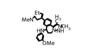 CC/C=C(\CCNC)c1ccc2c(c1)C(Nc1cccc(OC)c1)CCN1NN(C)C(C)=C21